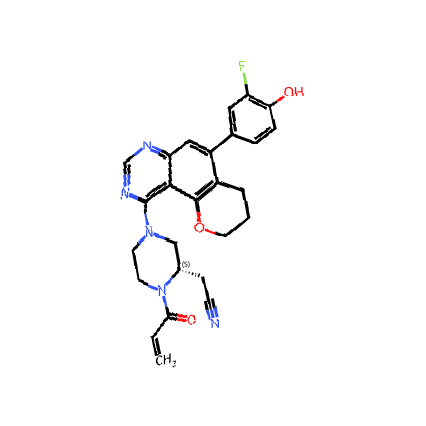 C=CC(=O)N1CCN(c2ncnc3cc(-c4ccc(O)c(F)c4)c4c(c23)OCCC4)C[C@@H]1CC#N